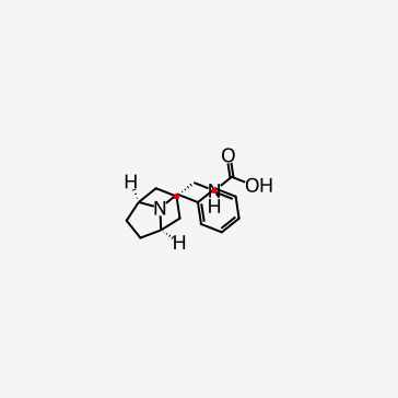 O=C(O)NC[C@@H]1C[C@H]2CC[C@@H](C1)N2Cc1ccccc1